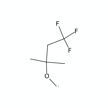 [CH2]OC(C)(C)CC(F)(F)F